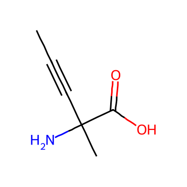 CC#CC(C)(N)C(=O)O